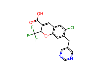 O=C(O)C1=Cc2cc(Cl)c(Cc3cncnc3)cc2OC1C(F)(F)F